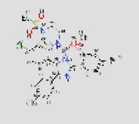 C#Cc1ccc(C2=N[C@@H](c3ccc(Cl)cc3)[C@@H](c3ccc(Cl)cc3)N2C(=O)N2CCN(S(=O)(=O)CC)CC2)c(OCC)c1